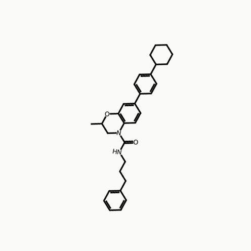 CC1CN(C(=O)NCCCc2ccccc2)c2ccc(-c3ccc(C4CCCCC4)cc3)cc2O1